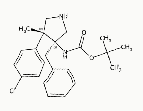 CC(C)(C)OC(=O)N[C@]1(Cc2ccccc2)CNC[C@@]1(C)c1ccc(Cl)cc1